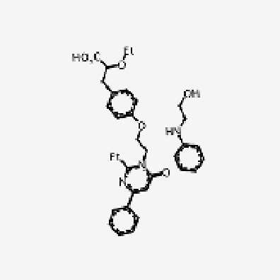 CCOC(Cc1ccc(OCCn2c(CC)nc(-c3ccccc3)cc2=O)cc1)C(=O)O.OCCNc1ccccc1